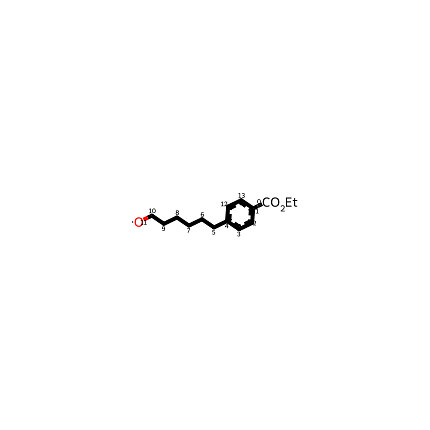 CCOC(=O)c1ccc(CCCCCC[O])cc1